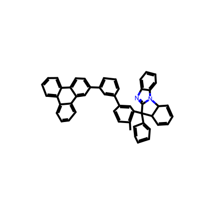 Cc1ccc(-c2cccc(-c3ccc4c5ccccc5c5ccccc5c4c3)c2)cc1C1(c2ccccc2)c2nc3ccccc3n2C2C=CC=CC21